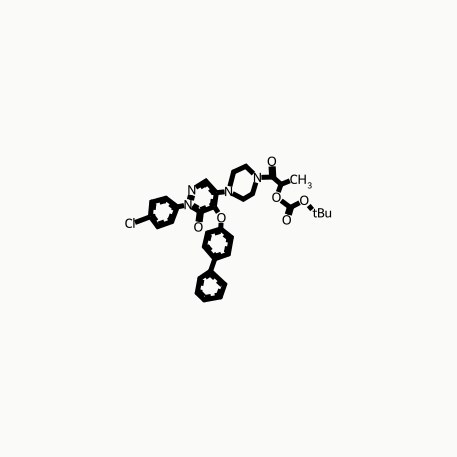 CC(OC(=O)OC(C)(C)C)C(=O)N1CCN(c2cnn(-c3ccc(Cl)cc3)c(=O)c2Oc2ccc(-c3ccccc3)cc2)CC1